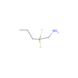 CCCC(F)(F)CN